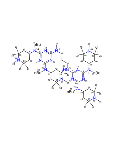 CCCCN(c1nc(NCCCN(C)c2nc(N(CCCC)C3CC(C)(C)N(C)C(C)(C)C3)nc(N(CCCC)C3CC(C)(C)N(C)C(C)(C)C3)n2)nc(N(CCCC)C2CC(C)(C)N(C)C(C)(C)C2)n1)C1CC(C)(C)N(C)C(C)(C)C1